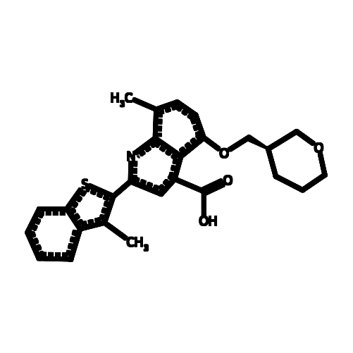 Cc1c(-c2cc(C(=O)O)c3c(OC[C@@H]4CCCOC4)ccc(C)c3n2)sc2ccccc12